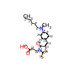 CCCCCCN(C)c1ccc(C=C2SC(=S)N(CCC(=O)O)C2=O)cc1